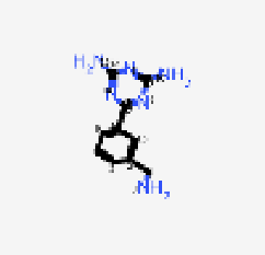 NCc1cccc(-c2nc(N)nc(N)n2)c1